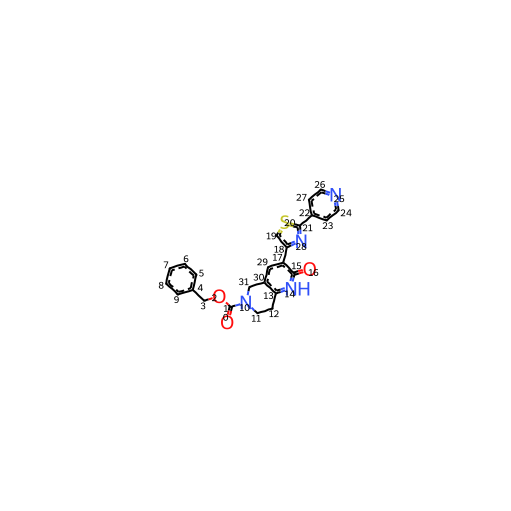 O=C(OCc1ccccc1)N1CCc2[nH]c(=O)c(-c3csc(-c4ccncc4)n3)cc2C1